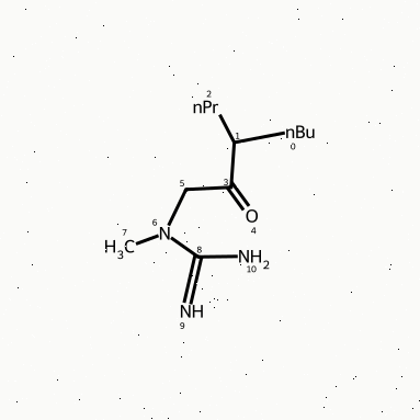 CCCCC(CCC)C(=O)CN(C)C(=N)N